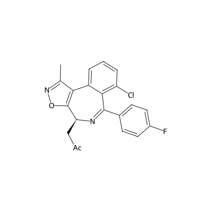 CC(=O)C[C@@H]1N=C(c2ccc(F)cc2)c2c(Cl)cccc2-c2c(C)noc21